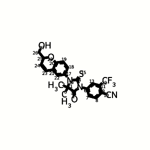 CC1(C)C(=O)N(c2ccc(C#N)c(C(F)(F)F)c2)C(=S)N1c1ccc2c(c1)C=CC(CO)O2